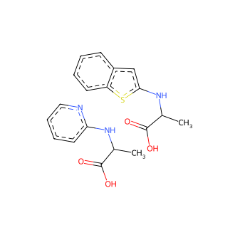 CC(Nc1cc2ccccc2s1)C(=O)O.CC(Nc1ccccn1)C(=O)O